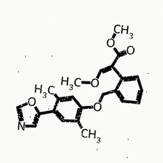 CO/C=C(/C(=O)OC)c1ccccc1COc1cc(C)c(-c2cnco2)cc1C